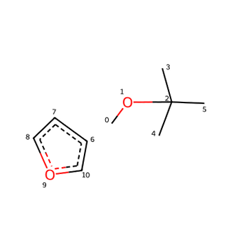 COC(C)(C)C.c1ccoc1